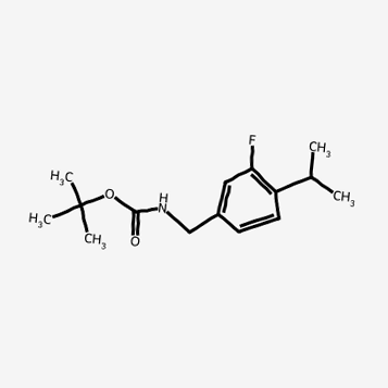 CC(C)c1ccc(CNC(=O)OC(C)(C)C)cc1F